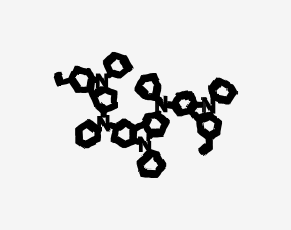 C=CC1=Cc2c(n(-c3ccccc3)c3ccc(N(c4ccccc4)c4ccc5c(c4)c4cc(N(C6=Cc7c(n(-c8ccccc8)c8ccc(C=C)cc78)CC6)c6ccccc6)ccc4n5-c4ccccc4)cc23)CC1